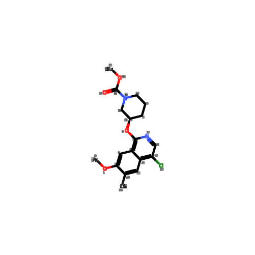 CC(C)Oc1cc2c(O[C@@H]3CCCN(C(=O)OC(C)(C)C)C3)ncc(Cl)c2cc1C#N